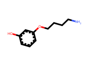 NCCCCOc1cccc(O)c1